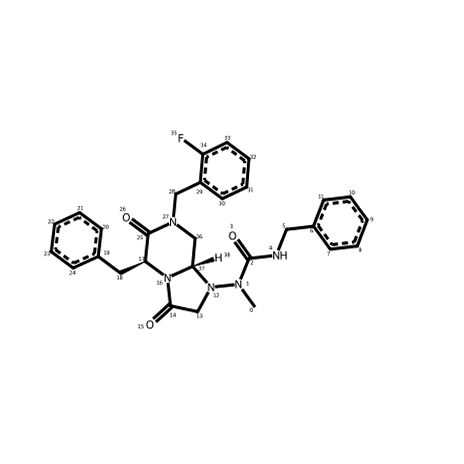 CN(C(=O)NCc1ccccc1)N1CC(=O)N2[C@@H](Cc3ccccc3)C(=O)N(Cc3ccccc3F)C[C@@H]21